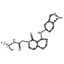 CC(C)[C@H](NC(=O)Cn1ccc2cccc(Nc3ccc4c(cnn4C)c3)c2c1=O)C(F)(F)F